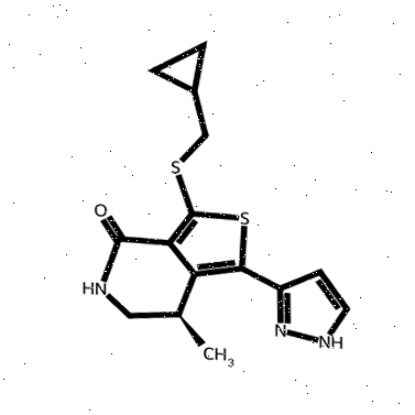 C[C@H]1CNC(=O)c2c(SCC3CC3)sc(-c3cc[nH]n3)c21